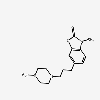 CN1CCN(CCCc2ccc3c(c2)oc(=O)n3C)CC1